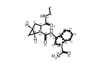 CCNC(=O)[C@@H]1C[C@H]2C[C@H]2N1C(=O)Nc1cn(C(N)=O)c2ccccc12